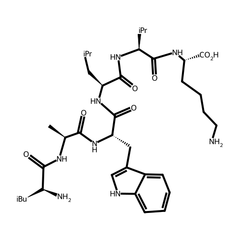 CC[C@H](C)[C@H](N)C(=O)N[C@@H](C)C(=O)N[C@@H](Cc1c[nH]c2ccccc12)C(=O)N[C@@H](CC(C)C)C(=O)N[C@H](C(=O)N[C@@H](CCCCN)C(=O)O)C(C)C